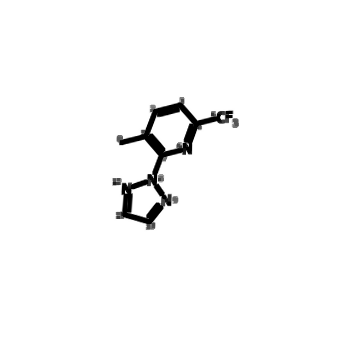 Cc1ccc(C(F)(F)F)nc1-n1nccn1